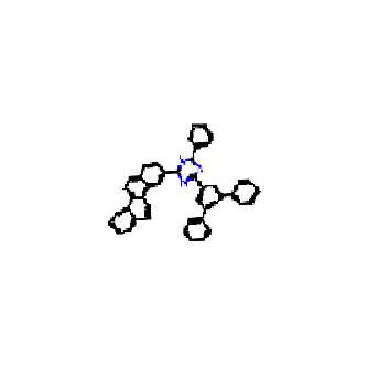 c1ccc(-c2cc(-c3ccccc3)cc(-c3nc(-c4ccccc4)nc(-c4ccc5ccc6c7ccccc7ccc6c5c4)n3)c2)cc1